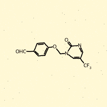 O=Cc1ccc(OCn2cc(C(F)(F)F)cnc2=O)cc1